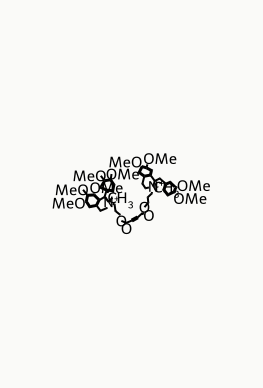 COc1ccc(CC2c3cc(OC)c(OC)cc3CC[N+]2(C)CCCOC(=O)C#CC(=O)OCCC[N+]2(C)CCc3cc(OC)c(OC)c(OC)c3C2c2ccc(OC)c(OC)c2)cc1OC